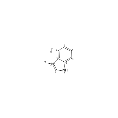 C[n+]1c[nH]c2ccccc21.[I-]